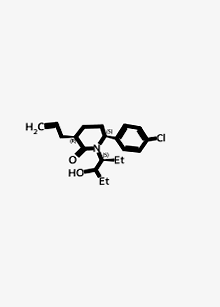 C=CC[C@H]1CC[C@@H](c2ccc(Cl)cc2)N([C@@H](CC)C(O)CC)C1=O